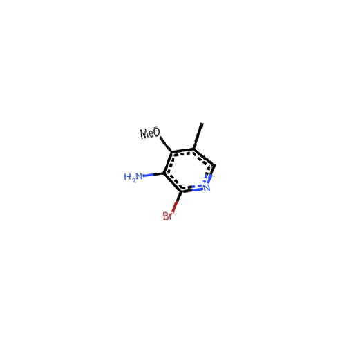 COc1c(C)cnc(Br)c1N